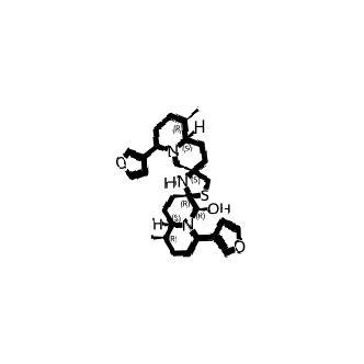 C[C@@H]1CCC(c2ccoc2)N2C[C@@]3(CC[C@@H]12)CS[C@@]1(CC[C@H]2[C@H](C)CCC(c4ccoc4)N2[C@@H]1O)N3